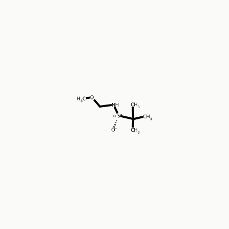 COCN[S@@+]([O-])C(C)(C)C